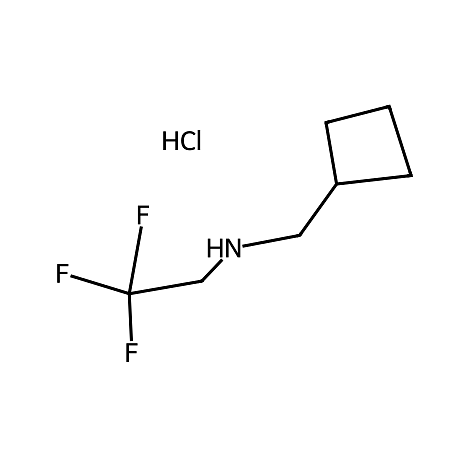 Cl.FC(F)(F)CNCC1CCC1